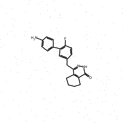 Nc1ccc(-c2cc(Cc3n[nH]c(=O)c4c3CCCC4)ccc2F)cc1